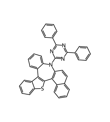 c1ccc(-c2nc(-c3ccccc3)nc(N3c4ccccc4-c4c(sc5ccccc45)-c4c3ccc3ccccc43)n2)cc1